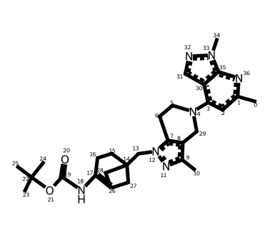 Cc1cc(N2CCc3c(c(C)nn3CC34CCC(NC(=O)OC(C)(C)C)=C(C3)C4)C2)c2cnn(C)c2n1